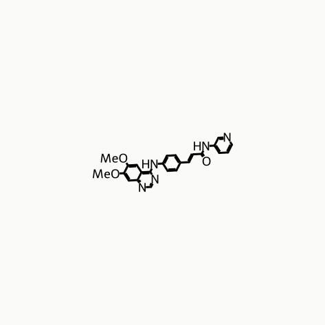 COc1cc2ncnc(Nc3ccc(/C=C/C(=O)Nc4cccnc4)cc3)c2cc1OC